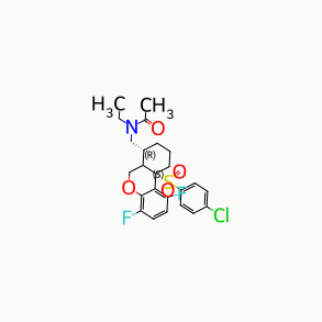 CCN(C[C@@H]1CCC[C@@]2(S(=O)(=O)c3ccc(Cl)cc3)c3c(F)ccc(F)c3OCC12)C(C)=O